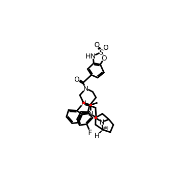 Cc1nc2ccccc2n1C1CC2CC[C@H](C1)N2CCC1(c2cccc(F)c2)CCN(C(=O)c2ccc3c(c2)NS(=O)(=O)O3)CC1